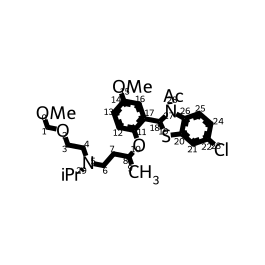 COCOCCN(CCC(C)Oc1ccc(OC)cc1C1Sc2cc(Cl)ccc2N1C(C)=O)C(C)C